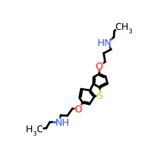 CCCNCCCOc1ccc2c(c1)sc1ccc(OCCCNCCC)cc12